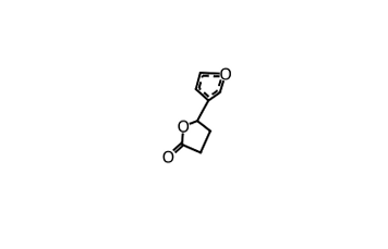 O=C1CCC(c2ccoc2)O1